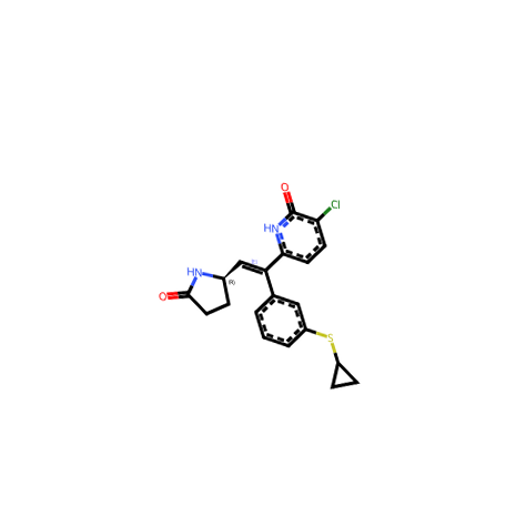 O=C1CC[C@H](/C=C(\c2cccc(SC3CC3)c2)c2ccc(Cl)c(=O)[nH]2)N1